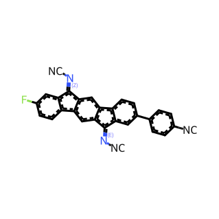 [C-]#[N+]/N=c1\c2cc(-c3ccc([N+]#[C-])cc3)ccc2c2cc3/c(=N/C#N)c4cc(F)ccc4c3cc12